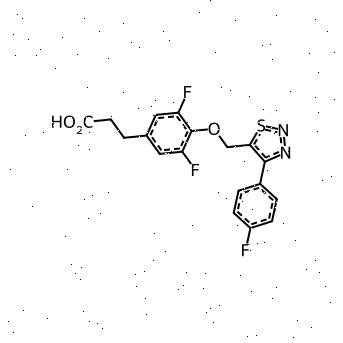 O=C(O)CCc1cc(F)c(OCc2snnc2-c2ccc(F)cc2)c(F)c1